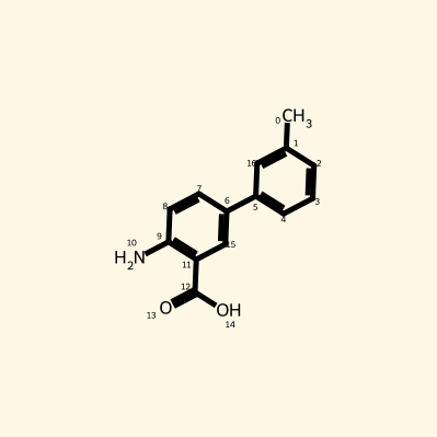 Cc1cccc(-c2ccc(N)c(C(=O)O)c2)c1